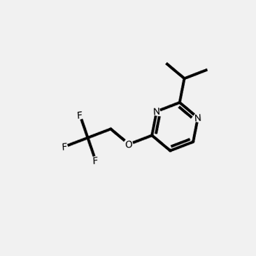 CC(C)c1nccc(OCC(F)(F)F)n1